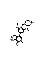 COc1cc(-c2cn(C)c(=O)c3[nH]ncc23)cc(OC)c1CN1CCNCC1